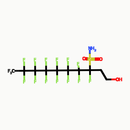 NS(=O)(=O)C(F)(CCO)C(F)(F)C(F)(F)C(F)(F)C(F)(F)C(F)(F)C(F)(F)C(F)(F)F